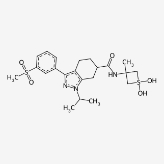 CC(C)n1nc(-c2cccc(S(C)(=O)=O)c2)c2c1CC(C(=O)NC1(C)CS(O)(O)C1)CC2